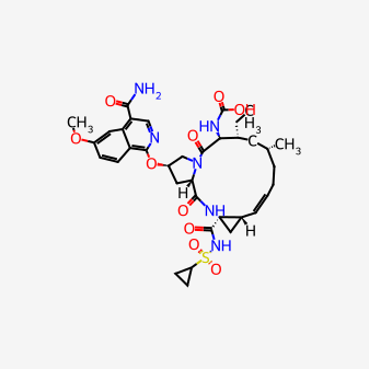 CC[C@@H]1C[C@H](C)CCC=C[C@@H]2C[C@@]2(C(=O)NS(=O)(=O)C2CC2)NC(=O)[C@@H]2C[C@@H](Oc3ncc(C(N)=O)c4cc(OC)ccc34)CN2C(=O)[C@H]1NC(=O)O